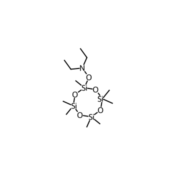 CCN(CC)O[Si]1(C)O[Si](C)(C)O[Si](C)(C)O[Si](C)(C)O1